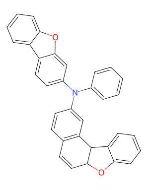 C1=CC2Oc3ccccc3C2c2cc(N(c3ccccc3)c3ccc4c(c3)oc3ccccc34)ccc21